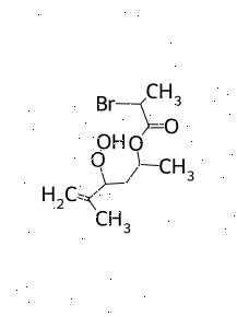 C=C(C)C(CC(C)OC(=O)C(C)Br)OO